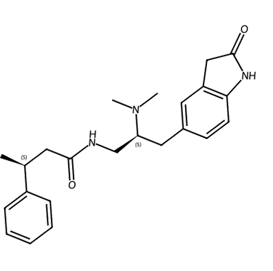 C[C@@H](CC(=O)NC[C@H](Cc1ccc2c(c1)CC(=O)N2)N(C)C)c1ccccc1